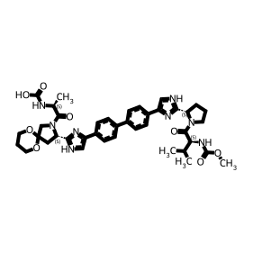 COC(=O)N[C@H](C(=O)N1CCC[C@H]1c1nc(-c2ccc(-c3ccc(-c4c[nH]c([C@@H]5CC6(CN5C(=O)[C@H](C)NC(=O)O)OCCCO6)n4)cc3)cc2)c[nH]1)C(C)C